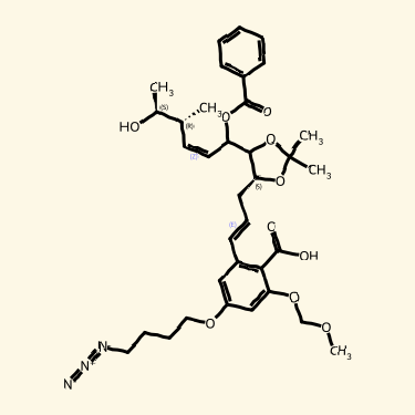 COCOc1cc(OCCCCN=[N+]=[N-])cc(/C=C/C[C@@H]2OC(C)(C)OC2C(/C=C\[C@@H](C)[C@H](C)O)OC(=O)c2ccccc2)c1C(=O)O